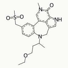 CCOCCC(C)N1Cc2c[nH]c3c(=O)n(C)cc(c23)-c2cc(CS(C)(=O)=O)ccc21